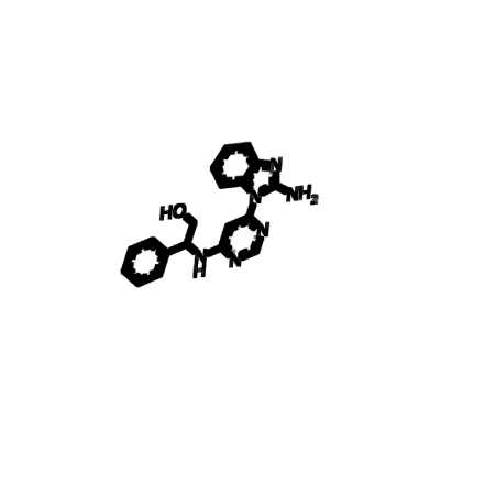 Nc1nc2ccccc2n1-c1cc(NC(CO)c2ccccc2)ncn1